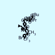 CC(C)[C@H](NC(=O)OC(C)(C)C)C(=O)OCN(C)C(=O)c1ccc(-n2c(=O)c3c(n4ncc(CC5CC5)c24)CN(C(=O)c2ccc(Br)c(C(F)(F)F)c2)[C@@H](C)C3)cc1